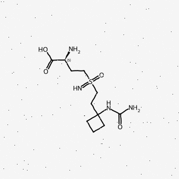 N=S(=O)(CC[C@H](N)C(=O)O)CCC1(NC(N)=O)CCC1